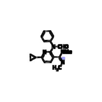 C/N=C(/NC)c1ccc(C2CC2)nc1N(C=O)c1ccccc1